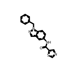 O=C(Nc1ccc2c(cnn2Cc2ccccc2)c1)c1cncs1